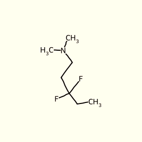 CCC(F)(F)CCN(C)C